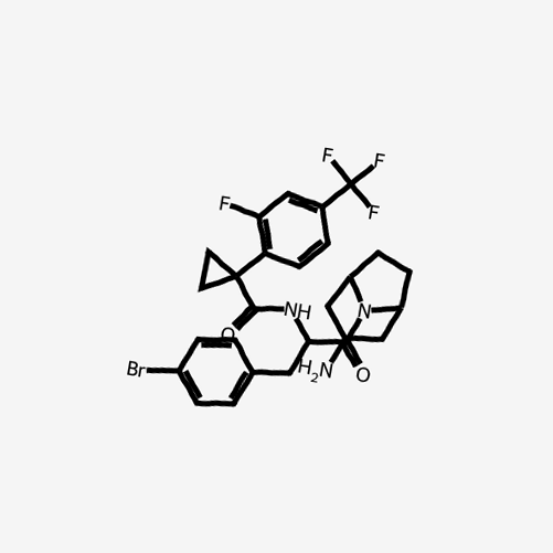 NC1CC2CCC(C1)N2C(=O)C(Cc1ccc(Br)cc1)NC(=O)C1(c2ccc(C(F)(F)F)cc2F)CC1